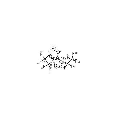 CON(S(=O)(=O)C(F)(F)C(F)(F)F)S(=O)(=O)C(F)(F)C(F)(F)F